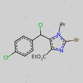 CCOC(=O)c1nc(Br)n(C(C)C)c1C(Cl)c1ccc(Cl)cc1